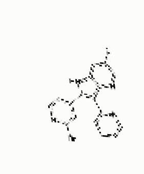 Clc1cnc2c(-c3ccccn3)c(-c3ccnc(Br)c3)[nH]c2c1